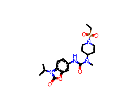 CCS(=O)(=O)N1CCC(N(C)C(=O)Nc2ccc3c(c2)oc(=O)n3C(C)C)CC1